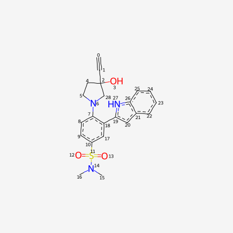 C#CC1(O)CCN(c2ccc(S(=O)(=O)N(C)C)cc2-c2cc3ccccc3[nH]2)C1